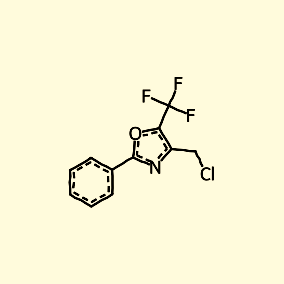 FC(F)(F)c1oc(-c2ccccc2)nc1CCl